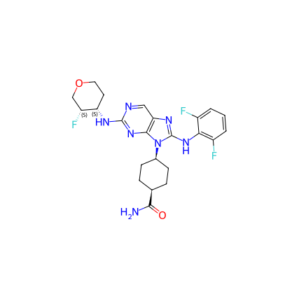 NC(=O)[C@H]1CC[C@@H](n2c(Nc3c(F)cccc3F)nc3cnc(N[C@H]4CCOC[C@H]4F)nc32)CC1